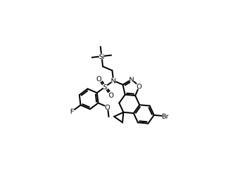 COc1cc(F)ccc1S(=O)(=O)N(CC[Si](C)(C)C)c1noc2c1CC1(CC1)c1ccc(Br)cc1-2